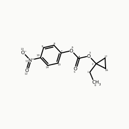 CCC1(OC(=O)Oc2ccc([N+](=O)[O-])cc2)CC1